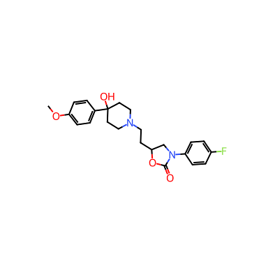 COc1ccc(C2(O)CCN(CCC3CN(c4ccc(F)cc4)C(=O)O3)CC2)cc1